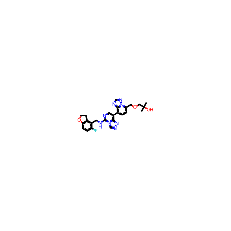 CC(C)(O)COCc1ccc(-c2cnc(NCc3c(F)ccc4c3CCO4)n3cnnc23)c2ncnn12